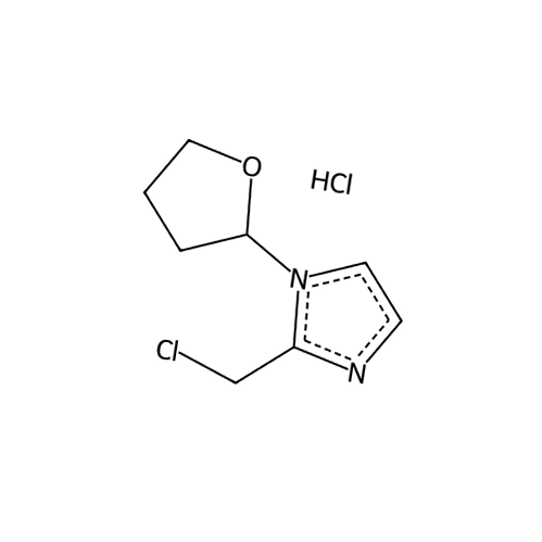 Cl.ClCc1nccn1C1CCCO1